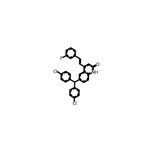 O=c1cc(C=Cc2cccc(F)c2)c2cc(C(c3ccc(Cl)cc3)c3ccc(Cl)cc3)ccc2[nH]1